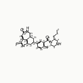 CCCC1CNCCN1C(=O)c1cc(C2CC3=C4C(=CC(=O)NCC4C2)C(F)=N3)ccc1F